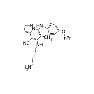 CCCOc1ccc(Nc2c(C)c(NCCCCN)c(C#N)c3ccnn23)cc1